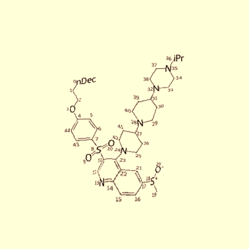 CCCCCCCCCCCCOc1ccc(S(=O)(=O)c2cnc3ccc([S+](C)[O-])cc3c2N2CCC(N3CCC(N4CCN(C(C)C)CC4)CC3)CC2)cc1